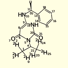 [2H]C([2H])([2H])C(n1c(=O)cc(N[C@@H](C)c2ccccc2)[nH]c1=O)C([2H])([2H])[2H]